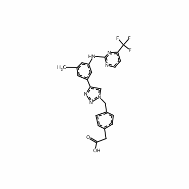 Cc1cc(Nc2nccc(C(F)(F)F)n2)cc(-c2cn(Cc3ccc(CC(=O)O)cc3)nn2)c1